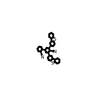 N#Cc1ccccc1-c1cc(-c2ccc3sc4ccccc4c3c2)c(C#N)c(-c2ccc3sc4ccccc4c3c2)c1